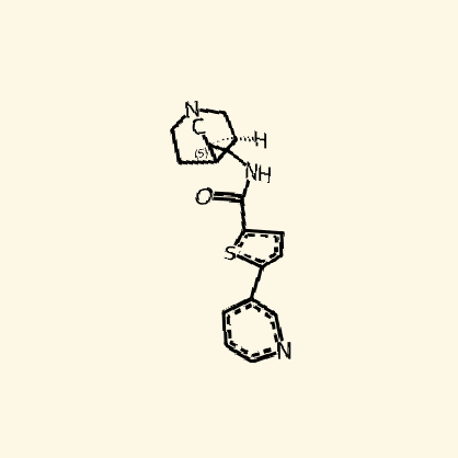 O=C(N[C@@H]1CN2CCC1CC2)c1ccc(-c2cccnc2)s1